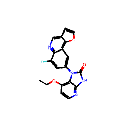 CCOc1ccnc2[nH]c(=O)n(-c3cc(F)c4ncc5ccoc5c4c3)c12